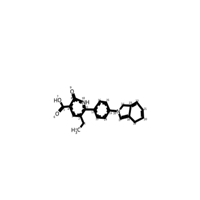 CCc1cc(C(=O)O)c(=O)[nH]c1-c1ccc(N2C=C3CC=CC=C3C2)cc1